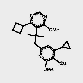 COc1nc(CC(C)(C)c2c(OC)ncnc2C2CCC2)cc(C2CC2)c1C(C)(C)C